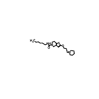 CCCCCCNC(=O)N1CCc2sc(OCCCN3CCCCC3)cc2C1